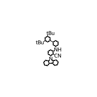 CC(C)(C)c1cc(-c2cccc(Nc3cccc(-n4c5ccccc5c5ccccc54)c3C#N)c2)cc(C(C)(C)C)c1